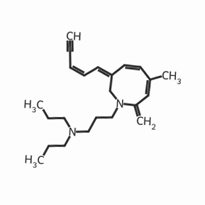 C#C\C=C/C=C1/C=C\C(C)=C/C(=C)N(CCCN(CCC)CCC)C1